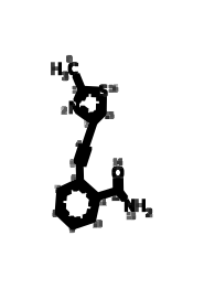 Cc1nc(C#Cc2ccccc2C(N)=O)cs1